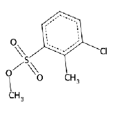 COS(=O)(=O)c1cccc(Cl)c1C